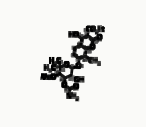 CCOC(=O)c1c(O)c2ccc(O[C@@H]3OC(C)(C)[C@H](OC)[C@H](OC(N)=O)[C@H]3O)c(C)c2oc1=O